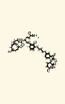 CC(=O)N1CCC(=O)N2[C@H](CC[C@H]2C(=O)N[C@@H](CCC(N)=O)COc2cccc(CCCCCc3ccc4c(c3)n(C)c(=O)n4C3CCC(=O)NC3=O)c2Cl)CC1